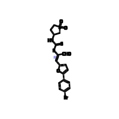 O=C/C(=C\c1ccc(-c2ccc(Br)cc2)o1)SC(=S)NC1CCS(=O)(=O)C1